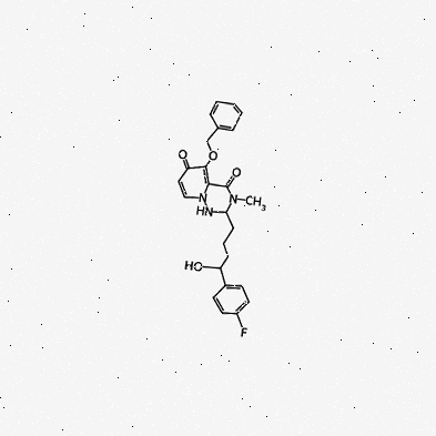 CN1C(=O)c2c(OCc3ccccc3)c(=O)ccn2NC1CCCC(O)c1ccc(F)cc1